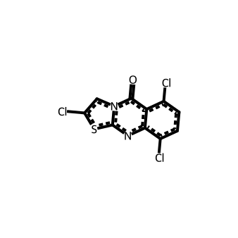 O=c1c2c(Cl)ccc(Cl)c2nc2sc(Cl)cn12